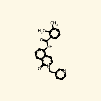 Cc1cccc(C(=O)Nc2cccc3c(=O)n(Cc4cccnc4)ccc23)c1C